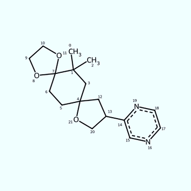 CC1(C)CC2(CCC13OCCO3)CC(c1cnccn1)CO2